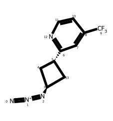 [N-]=[N+]=N[C@H]1C[C@H](c2cc(C(F)(F)F)ccn2)C1